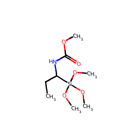 CCC(NC(=O)OC)[Si](OC)(OC)OC